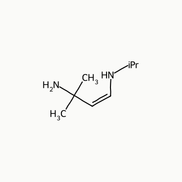 CC(C)N/C=C\C(C)(C)N